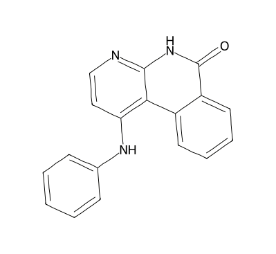 O=c1[nH]c2nccc(Nc3ccccc3)c2c2ccccc12